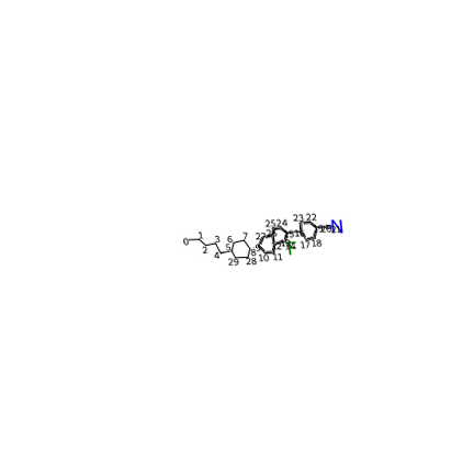 CCCCC[C@H]1CC[C@H](c2ccc3c(F)c(-c4ccc(C#N)cc4)ccc3c2)CC1